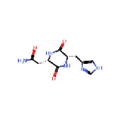 NC(=O)C[C@@H]1NC(=O)[C@H](Cc2c[nH]cn2)NC1=O